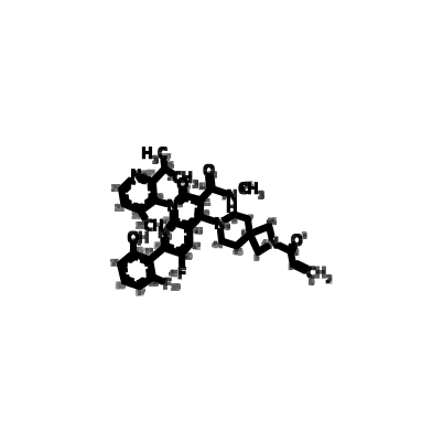 C=CC(=O)N1CC2(CCN(c3c(C(=O)NC)c(=O)n(-c4c(C)ccnc4C(C)C)c4nc(-c5c(O)cccc5F)c(F)cc34)CC2)C1